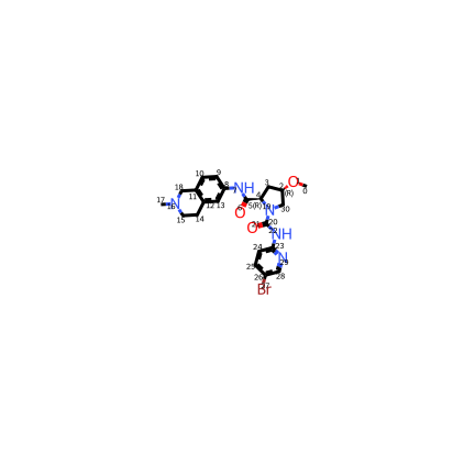 CO[C@@H]1C[C@H](C(=O)Nc2ccc3c(c2)CCN(C)C3)N(C(=O)Nc2ccc(Br)cn2)C1